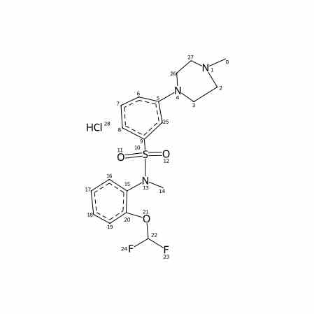 CN1CCN(c2cccc(S(=O)(=O)N(C)c3ccccc3OC(F)F)c2)CC1.Cl